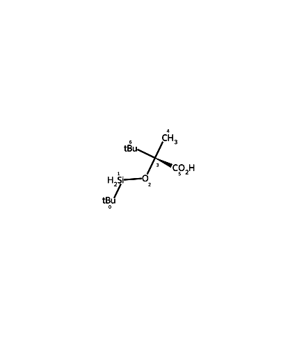 CC(C)(C)[SiH2]O[C@](C)(C(=O)O)C(C)(C)C